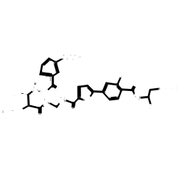 CCCCCC(C(=O)NCNC(=O)c1ccc(-c2ccc(C(=O)NC(CC(=O)O)C(=O)O)c(OCC)c2)o1)[C@@H](CC)N(C=O)OC(=O)c1cccc(NC)c1